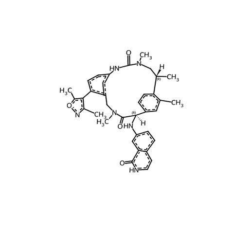 Cc1cc2ccc1[C@@H](C)CN(C)C(=O)Nc1ccc(-c3c(C)noc3C)c(c1)CN(C)C(=O)[C@@H]2Nc1ccc2cc[nH]c(=O)c2c1